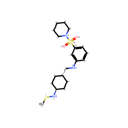 CC(C)(C)SN[C@H]1CC[C@H](CNc2cccc(S(=O)(=O)N3CCCCC3)c2)CC1